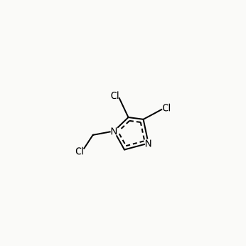 ClCn1cnc(Cl)c1Cl